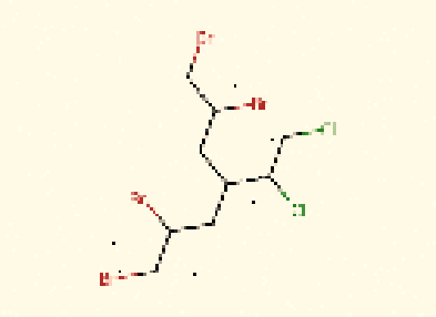 ClCC(Cl)[C](CC(Br)CBr)CC(Br)CBr